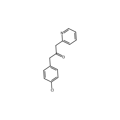 O=C(Cc1ccc(Cl)cc1)Cc1ccccn1